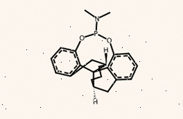 CN(C)P1Oc2cccc3c2C24c5c(cccc5O1)C[C@H]2CCC[C@@H]4C3